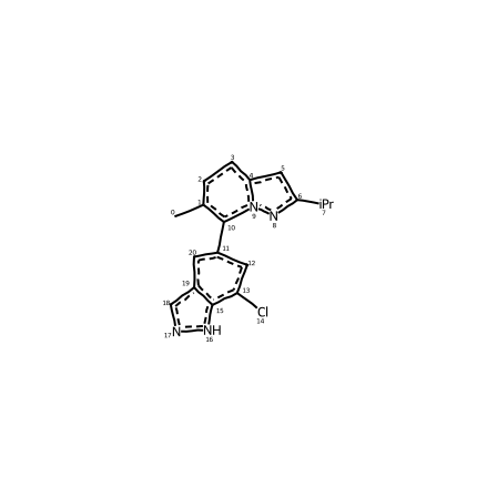 Cc1ccc2cc(C(C)C)nn2c1-c1cc(Cl)c2[nH]ncc2c1